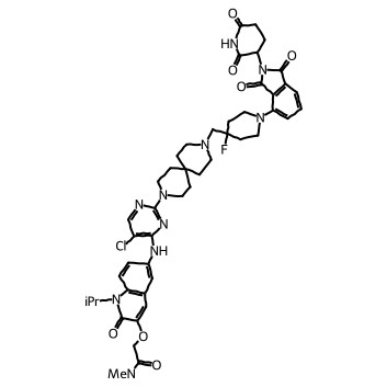 CNC(=O)COc1cc2cc(Nc3nc(N4CCC5(CCN(CC6(F)CCN(c7cccc8c7C(=O)N(C7CCC(=O)NC7=O)C8=O)CC6)CC5)CC4)ncc3Cl)ccc2n(C(C)C)c1=O